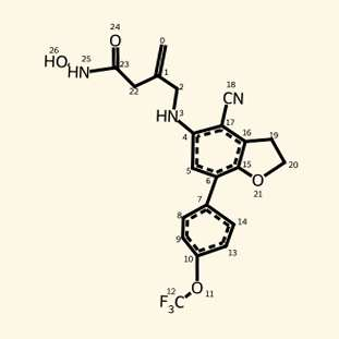 C=C(CNc1cc(-c2ccc(OC(F)(F)F)cc2)c2c(c1C#N)CCO2)CC(=O)NO